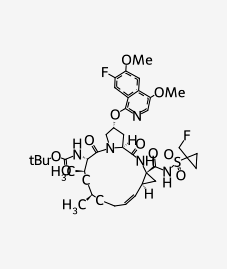 COc1cc2c(OC)cnc(O[C@@H]3C[C@H]4C(=O)N[C@]5(C(=O)NS(=O)(=O)C6(CF)CC6)C[C@H]5/C=C\CC[C@@H](C)C[C@@H](C)[C@H](NC(=O)OC(C)(C)C)C(=O)N4C3)c2cc1F